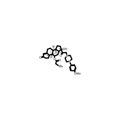 COc1ccc(N2CCN(CC(=O)[C@@]3(O)CC[C@H]4[C@@H]5CCC6=CC(=O)CC[C@]6(C)[C@H]5C(OC(=O)CC(C)(C)C)C[C@@]43C)CC2)cc1